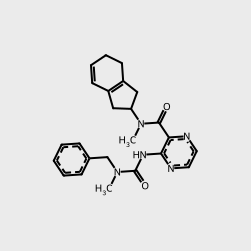 CN(Cc1ccccc1)C(=O)Nc1nccnc1C(=O)N(C)C1CC2=C(CCC=C2)C1